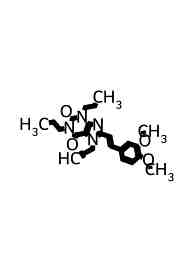 C#CCn1c(/C=C/c2ccc(OC)c(OC)c2)nc2c1c(=O)n(CCC)c(=O)n2CCC